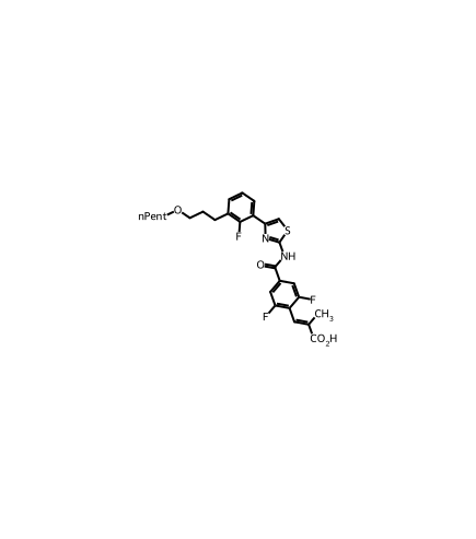 CCCCCOCCCc1cccc(-c2csc(NC(=O)c3cc(F)c(C=C(C)C(=O)O)c(F)c3)n2)c1F